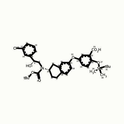 CC(C)(C)OC(=O)N(C[C@H](O)c1cccc(Cl)c1)[C@H]1CCc2ccc(Oc3ccc(O[Si](C)(C)C(C)(C)C)c(C(=O)O)c3)cc2C1